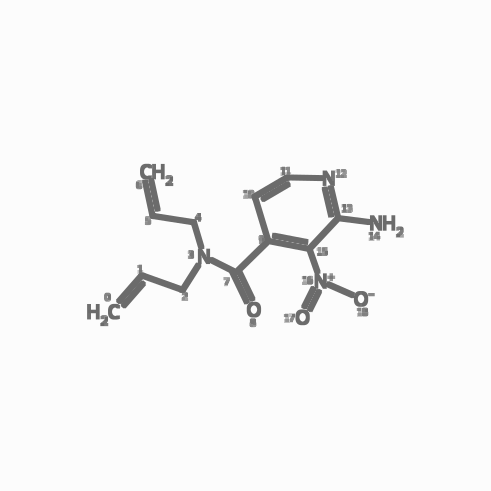 C=CCN(CC=C)C(=O)c1ccnc(N)c1[N+](=O)[O-]